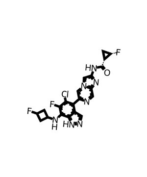 O=C(Nc1cn2cc(-c3c(Cl)c(F)c(NC4CC(F)C4)c4[nH]ncc34)ncc2n1)[C@@H]1C[C@@H]1F